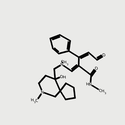 CNC(=O)C(=C/N(C)CC1(O)CCN(C)CC12CCCC2)/C(=C\C=O)c1ccccc1